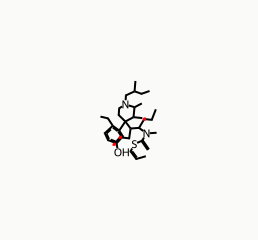 C=C(S/C=C\C)N(C)C(CCC)C(CCC)C1(c2cc(O)ccc2CC)CCN(CC(C)CC)C(C)C1C